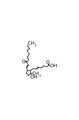 CCCCCCCC(=O)C=CC1CCC(C)(O)C1CC=CCCCC(=O)O